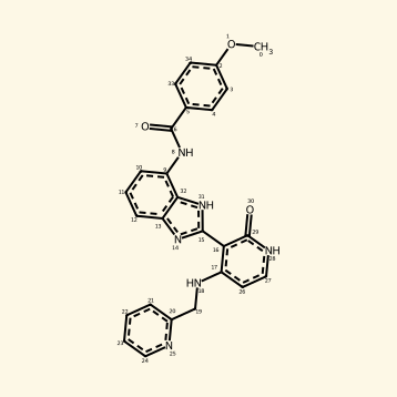 COc1ccc(C(=O)Nc2cccc3nc(-c4c(NCc5ccccn5)cc[nH]c4=O)[nH]c23)cc1